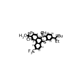 CCCC(C)(C)c1ccc2c3c(c4ccc(C(F)(F)F)cc4c2c1)Sc1cc(C(CC)C(C)CC)ccc1N3C